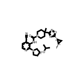 CC(C)O[C@@H]1CCN(c2nccc(C#N)c2NC(=O)N2CCC(C)(c3noc([C@@H]4C[C@@H]4F)n3)CC2)C1